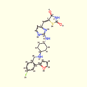 O=C1NC(=O)C(=Cc2ccnc(N[C@H]3CC[C@H](NCc4ccc(F)cc4-c4ccco4)CC3)n2)S1